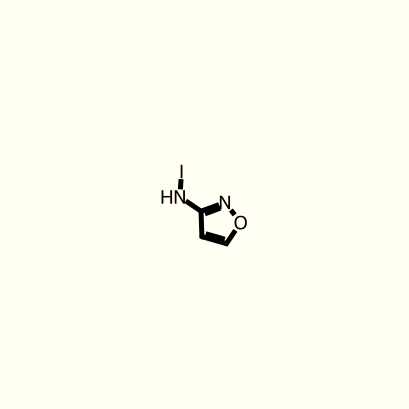 INc1ccon1